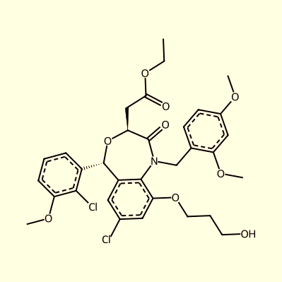 CCOC(=O)C[C@@H]1O[C@@H](c2cccc(OC)c2Cl)c2cc(Cl)cc(OCCCO)c2N(Cc2ccc(OC)cc2OC)C1=O